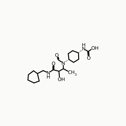 CC(C(O)C(=O)NCC1CCCCC1)N(C=O)[C@H]1CC[C@@H](NC(=O)O)CC1